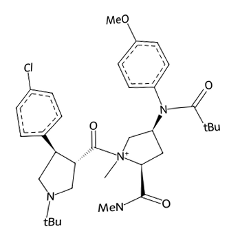 CNC(=O)[C@@H]1C[C@H](N(C(=O)C(C)(C)C)c2ccc(OC)cc2)C[N+]1(C)C(=O)[C@@H]1CN(C(C)(C)C)C[C@H]1c1ccc(Cl)cc1